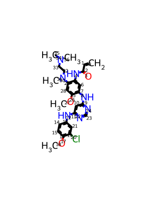 C=CC(=O)Nc1cc(Nc2cc(Nc3ccc(OC)c(Cl)c3)ncn2)c(OC)cc1N(C)CCN(C)C